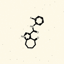 O=C(Nc1ccccc1F)c1c[nH]c2c1C(=O)CCCC2